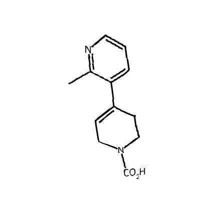 Cc1ncccc1C1=CCN(C(=O)O)CC1